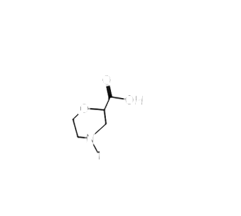 O=C(O)C1CN(I)CCO1